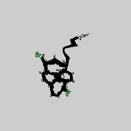 CCCCCCCCCCCCCCc1cc(Br)c2ccc3ccc(Br)c4ccc1c2c34